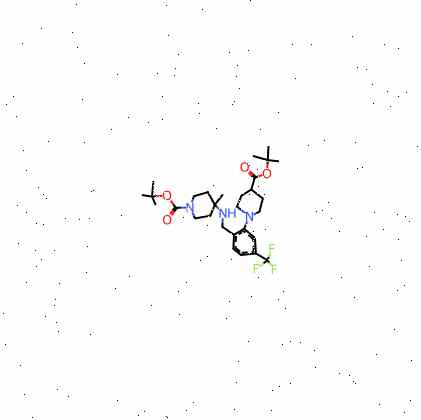 CC1(NCc2ccc(C(F)(F)F)cc2N2CCC(C(=O)OC(C)(C)C)CC2)CCN(C(=O)OC(C)(C)C)CC1